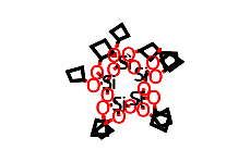 C1CC(O[Si]2(OC3CCC3)O[Si](OC3CCC3)(OC3CCC3)O[Si](OC3CCC3)(OC3CCC3)O[Si](OC3CCC3)(OC3CCC3)O[Si](OC3CCC3)(OC3CCC3)O2)C1